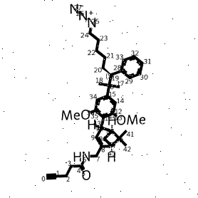 C#CCCC(=O)NCC1=C[C@H](c2c(OC)cc(C(C)(C)[C@@H](CCCCCN=[N+]=[N-])c3ccccc3)cc2OC)[C@@H]2C[C@H]1C2(C)C